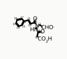 O=[C]CN(NC(=O)CC(=O)O)C(=O)/C=C/c1ccccc1